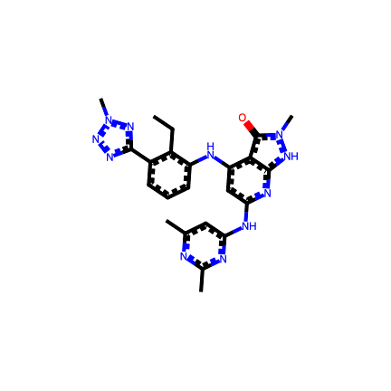 CCc1c(Nc2cc(Nc3cc(C)nc(C)n3)nc3[nH]n(C)c(=O)c23)cccc1-c1nnn(C)n1